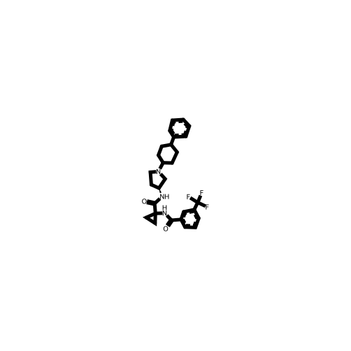 O=C(NC1(C(=O)N[C@@H]2CCN(C3CCC(c4ccccc4)CC3)C2)CC1)c1cccc(C(F)(F)F)c1